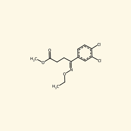 CCON=C(CCC(=O)OC)c1ccc(Cl)c(Cl)c1